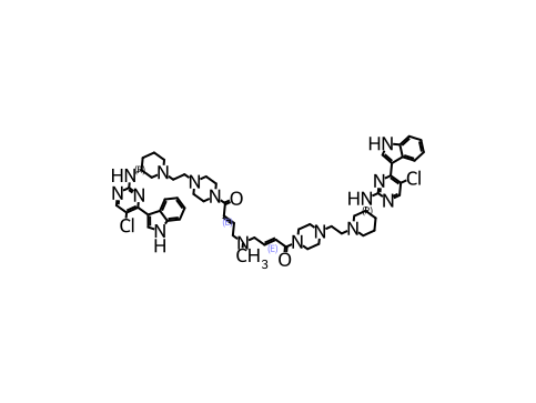 CN(C/C=C/C(=O)N1CCN(CCN2CCC[C@@H](Nc3ncc(Cl)c(-c4c[nH]c5ccccc45)n3)C2)CC1)C/C=C/C(=O)N1CCN(CCN2CCC[C@@H](Nc3ncc(Cl)c(-c4c[nH]c5ccccc45)n3)C2)CC1